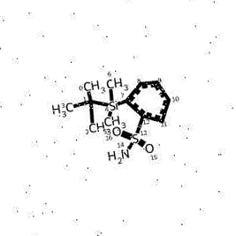 CC(C)(C)[Si](C)(C)c1ccccc1S(N)(=O)=O